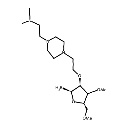 B[C@@H]1O[C@H](COC)C(OC)[C@@H]1OCCN1CCN(CCN(C)C)CC1